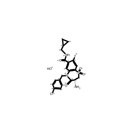 Cl.N[C@H]1CS(=O)(=O)c2cc(F)c(C(=O)NCC3CC3)cc2N(Cc2ccc(Cl)cc2)C1=O